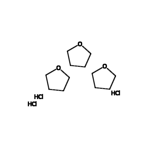 C1CCOC1.C1CCOC1.C1CCOC1.Cl.Cl.Cl